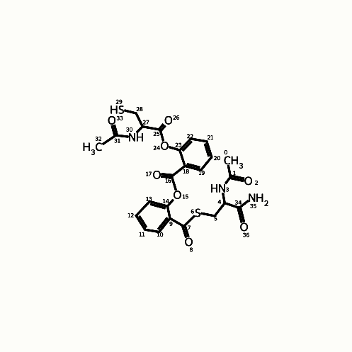 CC(=O)NC(CSC(=O)c1ccccc1OC(=O)c1ccccc1OC(=O)C(CS)NC(C)=O)C(N)=O